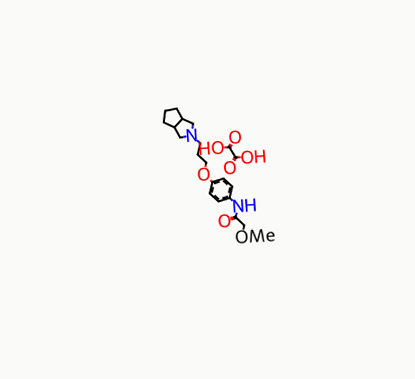 COCC(=O)Nc1ccc(OCCCN2CC3CCCC3C2)cc1.O=C(O)C(=O)O